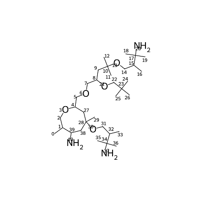 CC1COC(COCC(CC(C)(C)OCC(C)C(C)(C)N)OCC(C)(C)C)CC(C)(OCC(C)C(C)(C)N)CC1N